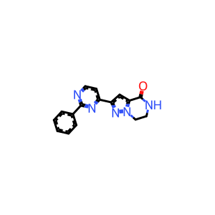 O=C1NCCn2nc(-c3ccnc(-c4ccccc4)n3)cc21